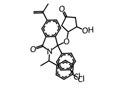 C=C(C)c1ccc2c(c1)C(=O)N(C(C)c1ccc(Cl)cc1)C2(OC1CC(=O)CC1O)c1ccc(Cl)cc1